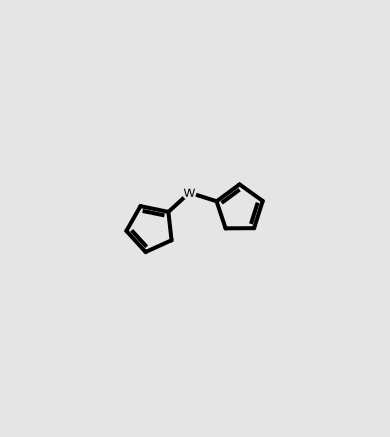 C1=CC[C]([W][C]2=CC=CC2)=C1